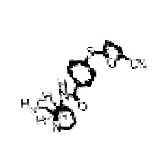 C[C@H]1[C@H](NC(=O)c2ccc(Sc3ccc(C#N)o3)cc2)C2CCN1CC2